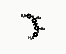 CCCCc1cc(C(C)(C)c2ccc(Oc3ccc(N)cc3)c(CCCC)c2)ccc1Oc1ccc(N)cc1